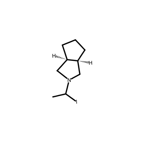 CC(I)N1C[C@H]2CCC[C@H]2C1